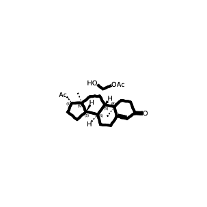 CC(=O)OCO.CC(=O)[C@H]1CC[C@H]2[C@@H]3CCC4=CC(=O)CC[C@]4(C)[C@H]3CC[C@]12C